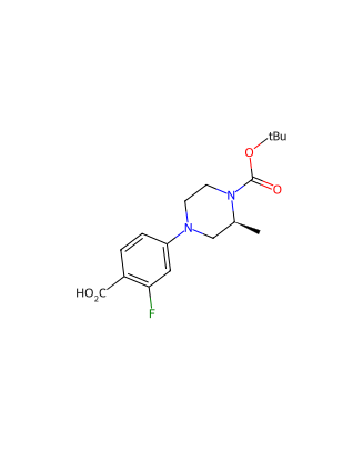 C[C@H]1CN(c2ccc(C(=O)O)c(F)c2)CCN1C(=O)OC(C)(C)C